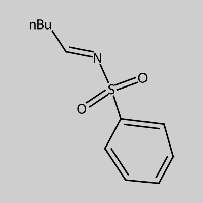 CCCCC=NS(=O)(=O)c1ccccc1